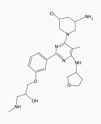 CNCC(O)COc1cccc(-c2nc(NC3CCOC3)c(C)c(N3CC(N)CC(Cl)C3)n2)c1